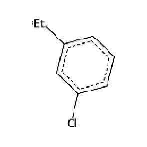 C[C]c1cccc(Cl)c1